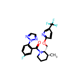 C[C@@H]1CCCN(C(=O)c2cc(F)ccc2-n2nccn2)[C@@H]1COc1ccc(C(F)(F)F)cn1